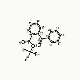 O=C(OC(F)(F)F)c1ccccc1C(=O)c1ccccc1